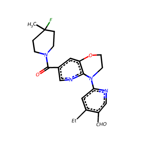 CCc1cc(N2CCOc3cc(C(=O)N4CCC(C)(F)CC4)cnc32)ncc1C=O